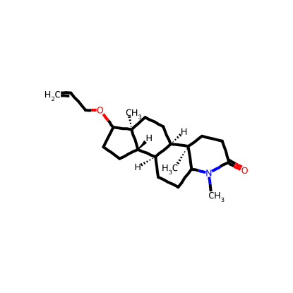 C=CCOC1CC[C@H]2[C@@H]3CCC4N(C)C(=O)CC[C@]4(C)[C@@H]3CC[C@]12C